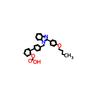 CCCCOc1ccc(-c2nc3ccccc3n2Cc2ccc(-c3ccccc3OC(=O)O)cc2)cc1